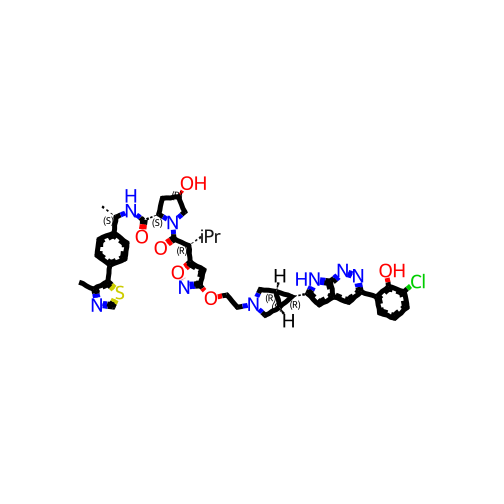 Cc1ncsc1-c1ccc([C@H](C)NC(=O)[C@@H]2C[C@@H](O)CN2C(=O)[C@@H](c2cc(OCCN3C[C@@H]4[C@H](C3)[C@H]4c3cc4cc(-c5cccc(Cl)c5O)nnc4[nH]3)no2)C(C)C)cc1